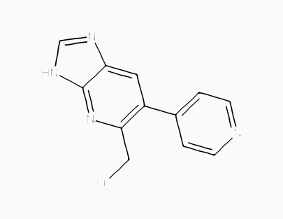 CC(C)Cc1nc2[nH]cnc2cc1-c1ccncc1